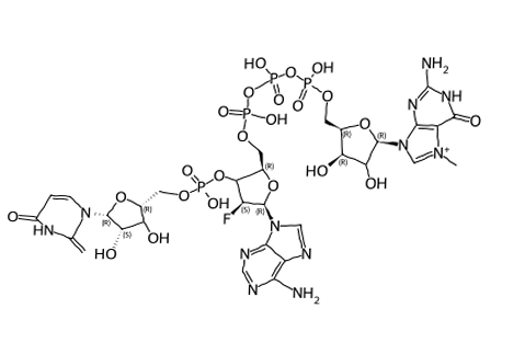 C=C1NC(=O)C=CN1[C@@H]1O[C@H](COP(=O)(O)OC2[C@@H](COP(=O)(O)OP(=O)(O)OP(=O)(O)OC[C@H]3O[C@@H](n4c[n+](C)c5c(=O)[nH]c(N)nc54)C(O)[C@H]3O)O[C@@H](n3cnc4c(N)ncnc43)[C@H]2F)C(O)[C@@H]1O